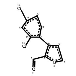 O=Cc1occc1-c1ccc(Cl)cc1Cl